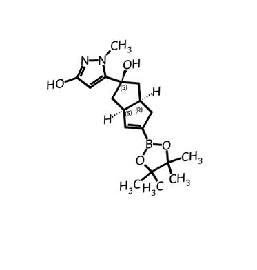 Cn1nc(O)cc1[C@]1(O)C[C@H]2CC(B3OC(C)(C)C(C)(C)O3)=C[C@H]2C1